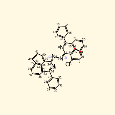 Clc1ccccc1/C(N=C(c1ccccc1)c1ccccc1)=N/N=C(\N=C(c1ccccc1)c1ccccc1)c1ccccc1Cl